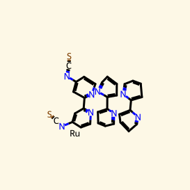 S=C=Nc1ccnc(-c2cc(N=C=S)ccn2)c1.[Ru].c1ccc(-c2ccccn2)nc1.c1ccc(-c2ccccn2)nc1